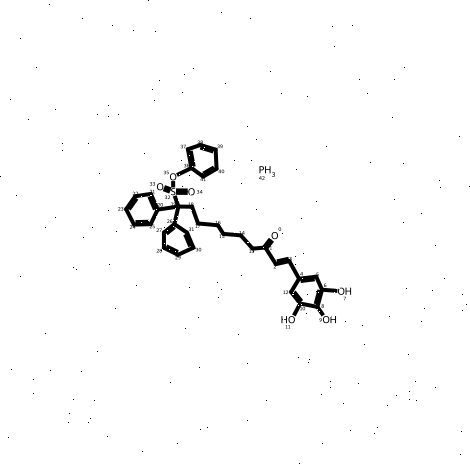 O=C(/C=C/c1cc(O)c(O)c(O)c1)CCCCCCC(c1ccccc1)(c1ccccc1)S(=O)(=O)Oc1ccccc1.P